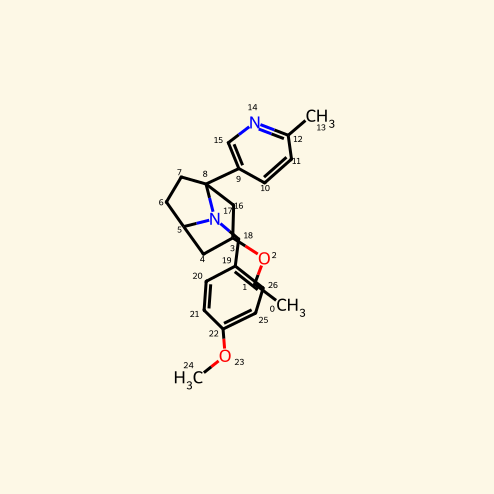 CCOC1CC2CCC(c3ccc(C)nc3)(C1)N2Cc1ccc(OC)cc1